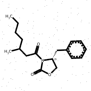 CCCCC(C)CC(=O)N1C(=O)OC[C@H]1Cc1ccccc1